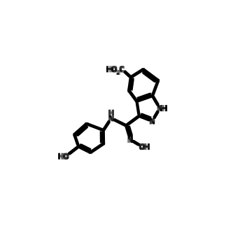 O=C(O)c1ccc2[nH]nc(/C(=N\O)Nc3ccc(O)cc3)c2c1